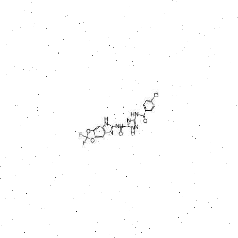 O=C(Nc1n[nH]c(C(=O)Nc2nc3cc4c(cc3[nH]2)OC(F)(F)O4)n1)c1ccc(Cl)cc1